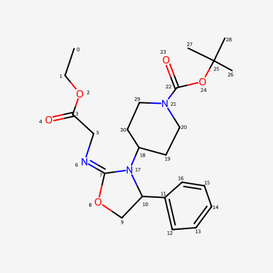 CCOC(=O)CN=C1OCC(c2ccccc2)N1C1CCN(C(=O)OC(C)(C)C)CC1